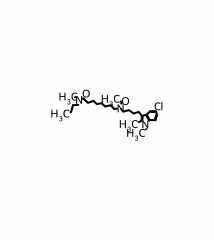 CCCCN(C)C(=O)CCCCCCCN(CCCCc1c(C)n(CC)c2ccc(Cl)cc12)C(C)=O